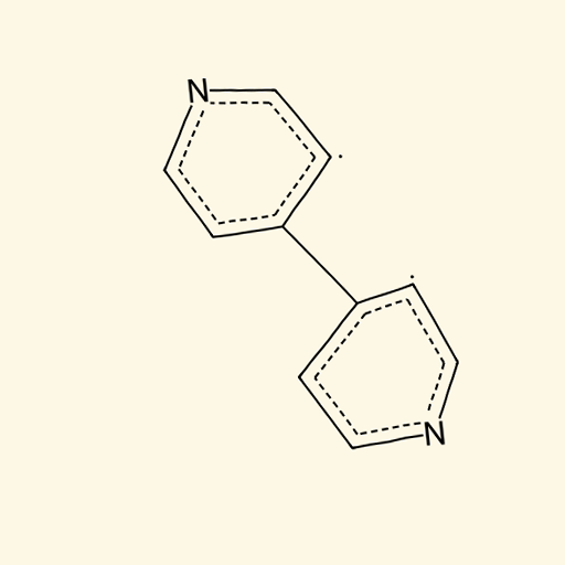 [c]1cnccc1-c1[c]cncc1